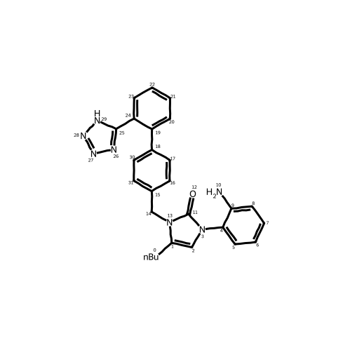 CCCCc1cn(-c2ccccc2N)c(=O)n1Cc1ccc(-c2ccccc2-c2nnn[nH]2)cc1